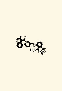 Cc1cnc2ccccc2c1C(=O)N1CCC[C@H](COc2cccc3c2C(N)=NS(=O)(=O)N3)C1